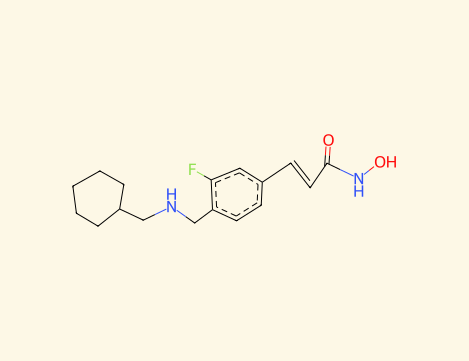 O=C(/C=C/c1ccc(CNCC2CCCCC2)c(F)c1)NO